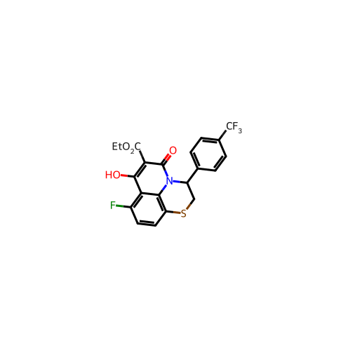 CCOC(=O)c1c(O)c2c(F)ccc3c2n(c1=O)C(c1ccc(C(F)(F)F)cc1)CS3